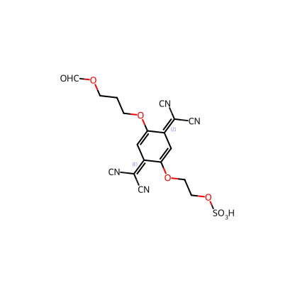 [C-]#[N+]/C(C#N)=c1/cc(OCCOS(=O)(=O)O)/c(=C(\C#N)[N+]#[C-])cc1OCCCOC=O